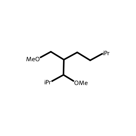 COCC(CCC(C)C)C(OC)C(C)C